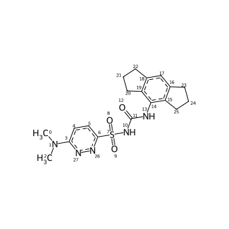 CN(C)c1ccc(S(=O)(=O)NC(=O)Nc2c3c(cc4c2CCC4)CCC3)nn1